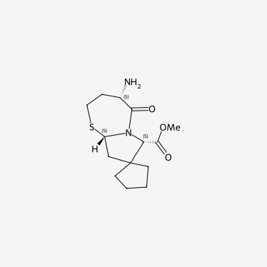 COC(=O)[C@H]1N2C(=O)[C@@H](N)CCS[C@H]2CC12CCCC2